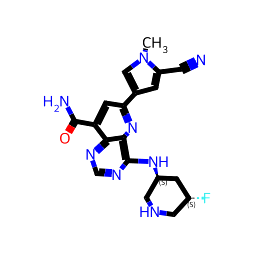 Cn1cc(-c2cc(C(N)=O)c3ncnc(N[C@@H]4CNC[C@@H](F)C4)c3n2)cc1C#N